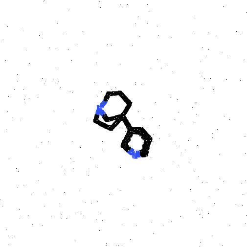 c1cncc(C23CCCN(CC2)C3)c1